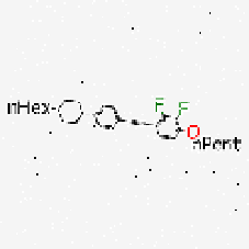 CCCCCC[C@H]1CC[C@H](c2ccc(C#Cc3ccc(OCCCCC)c(F)c3F)cc2)CC1